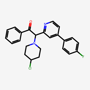 O=C(c1ccccc1)C(c1cc(-c2ccc(F)cc2)ccn1)N1CCC(Cl)CC1